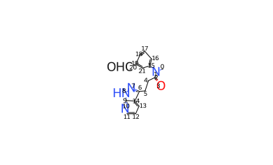 CN(C(=O)CCc1n[nH]c2ncccc12)c1cccc(C=O)c1